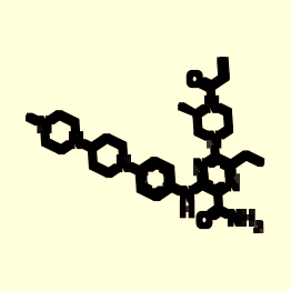 C=CC(=O)N1CCN(c2nc(Nc3ccc(N4CCC(N5CCN(C)CC5)CC4)cc3)c(C(N)=O)nc2CC)C[C@H]1C